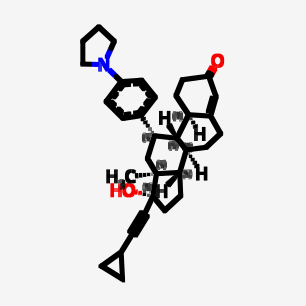 C[C@]12C[C@H](c3ccc(N4CCCC4)cc3)[C@H]3[C@@H](CCC4=CC(=O)CC[C@@H]43)[C@@H]1CC[C@@]2(O)C#CC1CC1